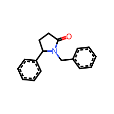 O=C1CCC(c2ccccc2)N1Cc1ccccc1